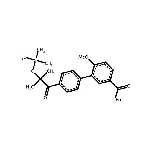 COc1ccc(C(=O)C(C)(C)C)cc1-c1ccc(C(=O)C(C)(C)O[Si](C)(C)C)cc1